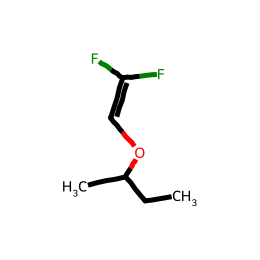 CCC(C)OC=C(F)F